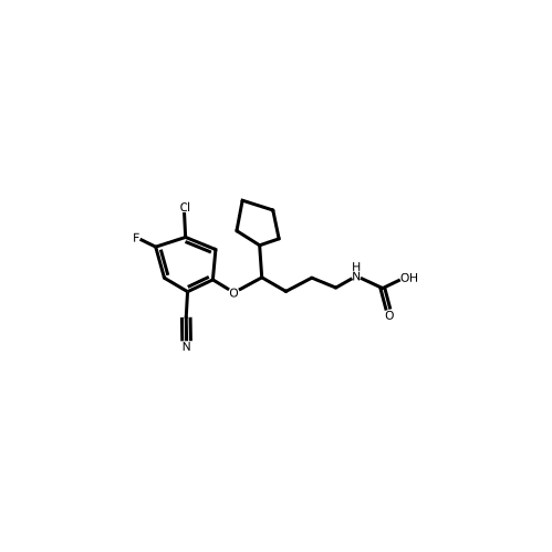 N#Cc1cc(F)c(Cl)cc1OC(CCCNC(=O)O)C1CCCC1